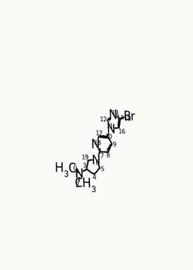 CN(C)C1CCN(c2ccc(-n3cnc(Br)c3)cn2)C1